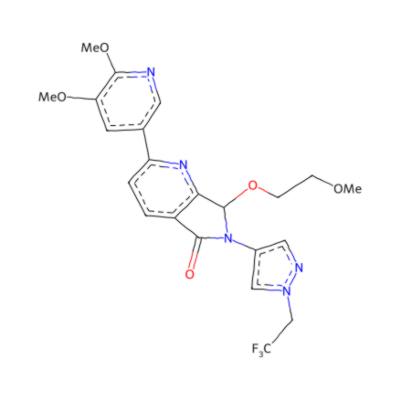 COCCOC1c2nc(-c3cnc(OC)c(OC)c3)ccc2C(=O)N1c1cnn(CC(F)(F)F)c1